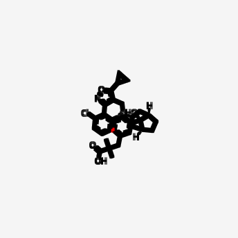 CC(C)(Cc1cccc([C@]2(O)[C@@H]3CC[C@H]2C[C@H](OCc2c(-c4c(Cl)cccc4Cl)noc2C2CC2)C3)c1)C(=O)O